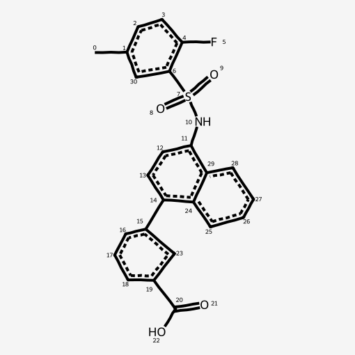 Cc1ccc(F)c(S(=O)(=O)Nc2ccc(-c3cccc(C(=O)O)c3)c3ccccc23)c1